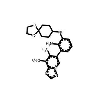 COc1c(C)c(-c2cccc(NC3CCC4(CC3)OCCO4)c2N)cn2ncnc12